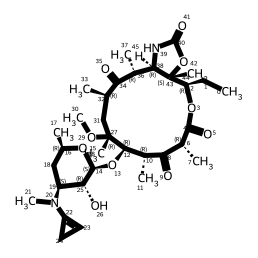 CC[C@H]1OC(=O)[C@H](C)C(=O)[C@H](C)[C@@H](O[C@@H]2O[C@H](C)C[C@H](N(C)C3=CC3)[C@H]2O)[C@](C)(OC)C[C@@H](C)C(=O)[C@H](C)[C@H]2NC(=O)O[C@@]21C